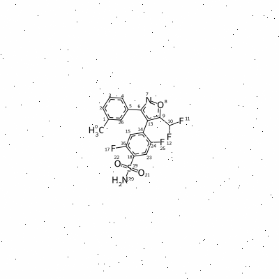 Cc1cccc(-c2noc(C(F)F)c2-c2cc(F)c(S(N)(=O)=O)cc2F)c1